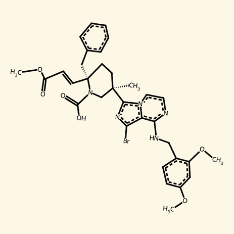 COC(=O)C=C[C@@]1(Cc2ccccc2)CC[C@@](C)(c2nc(Br)c3c(NCc4ccc(OC)cc4OC)nccn23)CN1C(=O)O